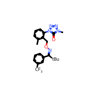 Cc1cccc(-n2nnn(C)c2=O)c1CON=C(c1cccc(C(F)(F)F)c1)C(C)(C)C